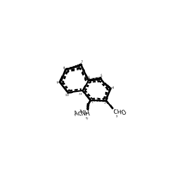 CC(=O)Nc1c(C=O)ccc2ccccc12